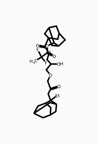 CCC1(CC(=O)COCC(O)COC(=O)C23CC4CC(C2)C(OC(=O)C(C)(F)F)C(C4)C3)C2CC3CC(C2)CC1C3